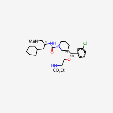 CCOC(=O)NCCO[C@@H](c1cccc(Cl)c1)[C@@H]1CCCN(C(=O)N[C@H](CNC)CC2CCCCC2)C1